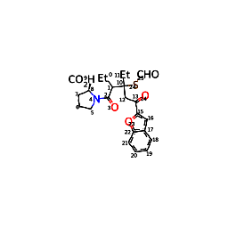 CCC(C(=O)N1CCC[C@H]1C(=O)O)C(CC)(CC(=O)c1cc2ccccc2o1)SC=O